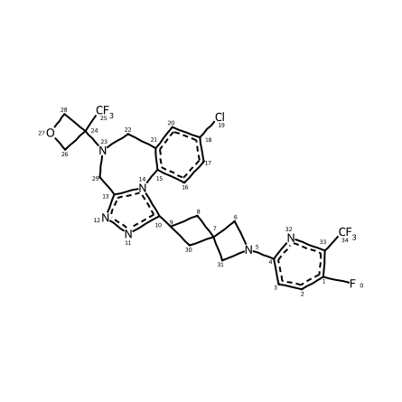 Fc1ccc(N2CC3(CC(c4nnc5n4-c4ccc(Cl)cc4CN(C4(C(F)(F)F)COC4)C5)C3)C2)nc1C(F)(F)F